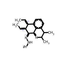 C\C=C1C(=C\C)/C(=N/NC(C)C)C2=NC(C)C(C)c3cccc/1c32